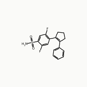 NS(=O)(=O)c1cc(F)c(C2=C(c3ccccc3)CCC2)cc1F